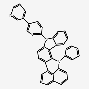 c1ccc(N2c3cccc4cccc(c34)-c3ccc4c(c32)c2ccccc2n4-c2ccc(-c3cccnc3)cn2)cc1